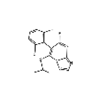 CC(C)Sc1c(-c2c(F)cccc2Cl)c(Br)nc2ncnn12